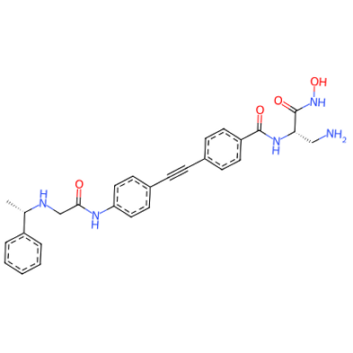 C[C@H](NCC(=O)Nc1ccc(C#Cc2ccc(C(=O)N[C@@H](CN)C(=O)NO)cc2)cc1)c1ccccc1